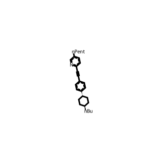 CCCCCc1ccc(C#Cc2ccc([C@H]3CC[C@H](CCCC)CC3)cc2)nc1